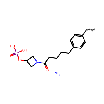 CCCCCCCc1ccc(CCCCC(=O)N2CC(OP(=O)(O)O)C2)cc1.N